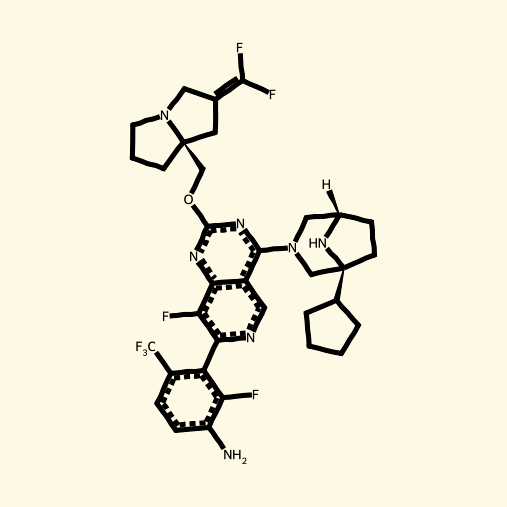 Nc1ccc(C(F)(F)F)c(-c2ncc3c(N4C[C@@H]5CC[C@](C6CCCC6)(C4)N5)nc(OC[C@@]45CCCN4CC(=C(F)F)C5)nc3c2F)c1F